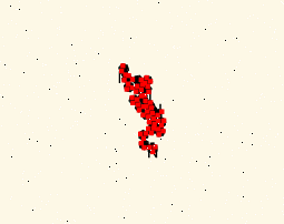 Cc1nc(-c2cccc(C3(c4ccc(-c5cccc(-c6cccc(-c7cnccc7C)c6)c5)cc4)c4ccccc4-c4ccccc43)c2)nc(-c2ccc(-c3nc(-c4cccc(C5(c6cccc(-c7cccc(-c8cnc(-c9ccccc9)cc8C)c7)c6)c6ccccc6-c6ccccc65)c4)cc(-c4ccccc4-c4ccccc4)n3)cc2-c2ccccc2)n1